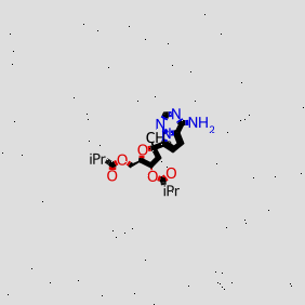 CC(C)C(=O)OC[C@H]1O[C@@](C)(c2ccc3c(N)ncnn23)C[C@@H]1OC(=O)C(C)C